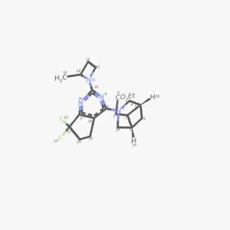 CCOC(=O)CC1[C@@H]2C[C@H]1CN(c1nc(N3CCC3C)nc3c1CCC3(F)F)C2